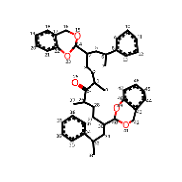 CC(CCC(CC(C)c1ccccc1)C1OCc2ccccc2O1)C(=O)C(C)CCC(CC(C)c1ccccc1)C1OCc2ccccc2O1